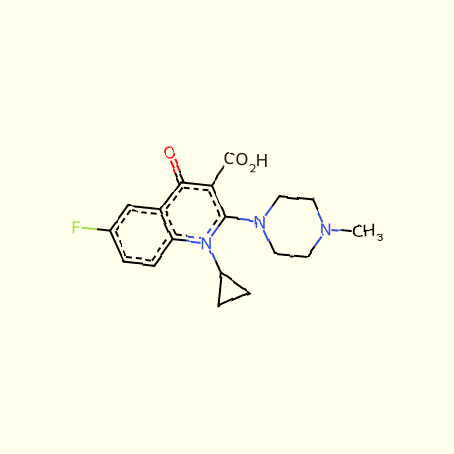 CN1CCN(c2c(C(=O)O)c(=O)c3cc(F)ccc3n2C2CC2)CC1